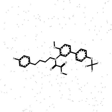 COC(=O)C(=O)N(CCCCc1ccc(F)cc1)c1cc(-c2ccc(OC(F)(F)F)cc2)ccc1OC